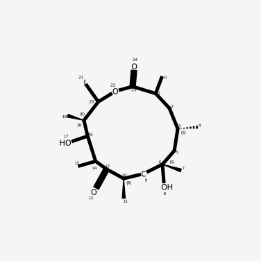 CC1C[C@H](C)C[C@](C)(O)C[C@@H](C)C(=O)C(C)C(O)[C@@H](C)C(I)OC1=O